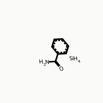 NC(=O)c1ccccc1.[SiH4]